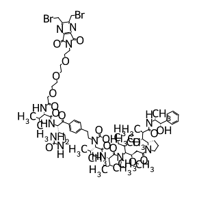 CC[C@H](C)[C@@H]([C@@H](CC(=O)N1CCC[C@H]1[C@H](OC)[C@@H](C)C(=O)N[C@H](C)[C@@H](O)c1ccccc1)OC)N(C)C(=O)[C@@H](NC(=O)[C@H](C(C)C)N(CCc1ccc(C(=O)[C@H](CCCNC(N)=O)NC(=O)[C@@H](NC(=O)COCCOCCOCCN2C(=O)c3nc(CBr)c(CBr)nc3C2=O)C(C)C)cc1)C(=O)O)C(C)C